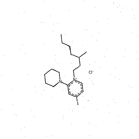 CCCCC(C)CC[n+]1ccc(C)cc1N1CCCCC1.[Cl-]